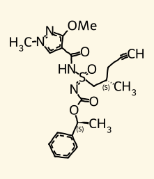 C#CC[C@H](C)CS(=O)(=NC(=O)O[C@@H](C)c1ccccc1)NC(=O)c1cn(C)nc1OC